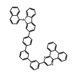 c1cc(-c2ccc(-c3ccc4c5ccccc5n(-c5cccc6ccccc56)c4c3)cc2)cc(-c2cccc(-c3cnc4c5ccccc5c5ccccc5c4n3)c2)c1